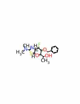 CC(O)[C@H]1O[C@@H]2SC(N(C)C)=N[C@@H]2[C@@H](F)[C@@H]1OCc1ccccc1